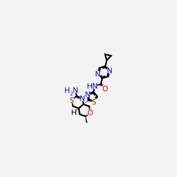 C[C@H]1C[C@H]2CSC(N)=N[C@@]2(c2nc(NC(=O)c3cnc(C4CC4)cn3)cs2)CO1